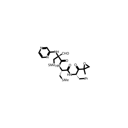 CSC[C@H](NC(=O)[C@](C=O)(CSC)Nc1cnccn1)C(=O)N[C@@H](CC(C)C)C(=O)C1(C)CO1